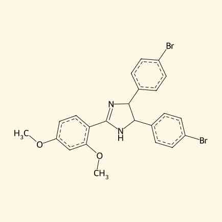 COc1ccc(C2=NC(c3ccc(Br)cc3)C(c3ccc(Br)cc3)N2)c(OC)c1